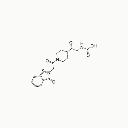 O=C(O)NCC(=O)N1CCN(C(=O)Cn2sc3ccccc3c2=O)CC1